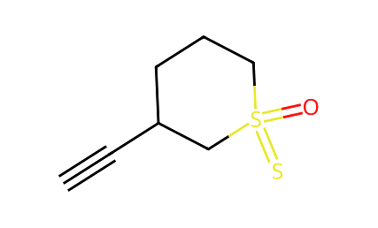 C#CC1CCCS(=O)(=S)C1